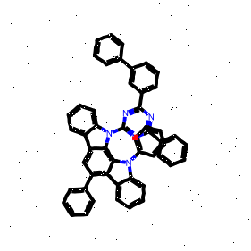 c1ccc(-c2cccc(-c3nc(-c4ccccc4)nc(-n4c5ccccc5c5cc(-c6ccccc6)c6c7ccccc7n(-c7ccccc7)c6c54)n3)c2)cc1